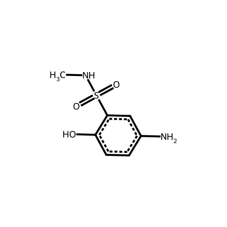 CNS(=O)(=O)c1cc(N)ccc1O